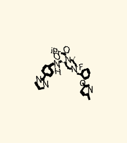 Cc1ccc(Oc2cccc(F)c2CN2C[C@@H](C)N(C(=O)C(C)C)[C@@H](C(=O)NCc3ccc(-c4ncccn4)cc3)C2)cn1